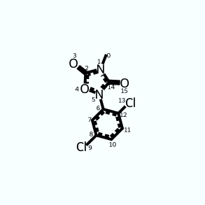 Cn1c(=O)on(-c2cc(Cl)ccc2Cl)c1=O